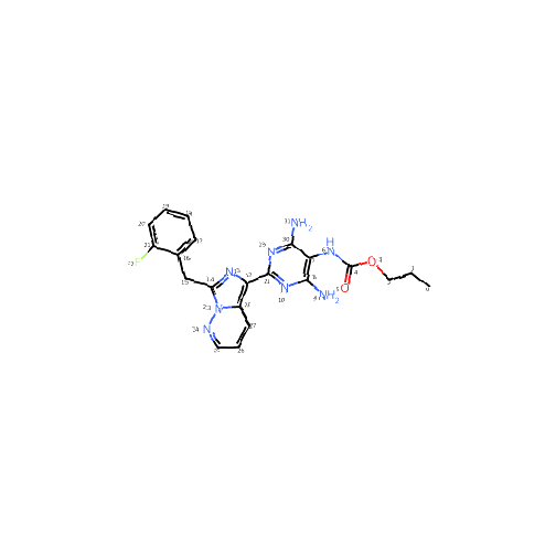 CCCOC(=O)Nc1c(N)nc(-c2nc(Cc3ccccc3F)n3ncccc23)nc1N